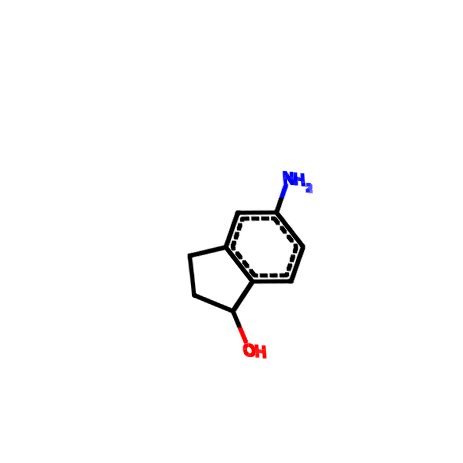 Nc1ccc2c(c1)CCC2O